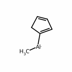 [CH3][Al][C]1=CC=CC1